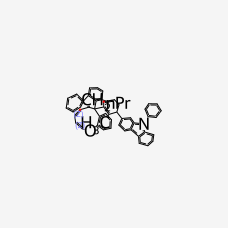 C=C1/C=C\C=C/Oc2ccccc2C1(C1=C(C)C(c2ccc3c4ccccc4n(-c4ccccc4)c3c2)CC=C1)c1c(CCC)cccc1-c1ccccc1